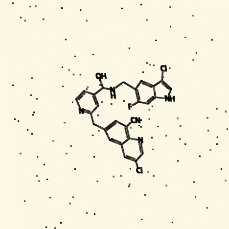 N#Cc1cc(Cc2cc(C(O)NCc3cc4c(Cl)c[nH]c4cc3F)ccn2)cc2cc(Cl)cnc12